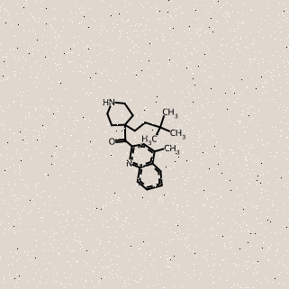 Cc1cc(C(=O)C2(CCC(C)(C)C)CCNCC2)nc2ccccc12